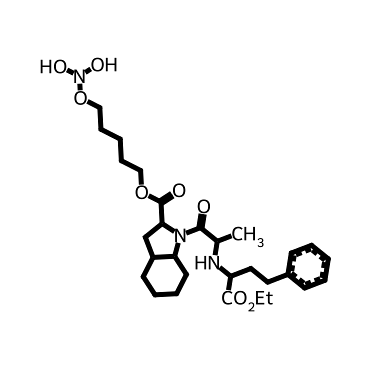 CCOC(=O)C(CCc1ccccc1)NC(C)C(=O)N1C(C(=O)OCCCCCON(O)O)CC2CCCCC21